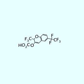 O=C(O)OC1=Cc2cc(C(F)(F)C(F)(F)F)ccc2OC1C(F)(F)F